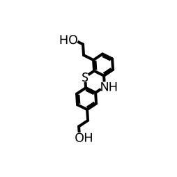 OCCc1ccc2c(c1)Nc1cccc(CCO)c1S2